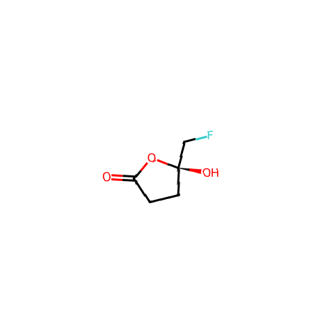 O=C1CC[C@@](O)(CF)O1